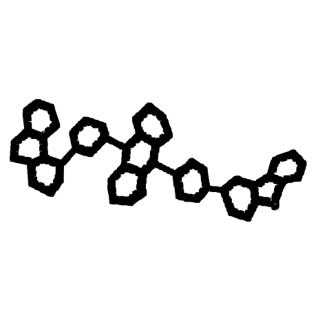 c1cc(-c2c3ccccc3c(-c3ccc(-c4ccc5oc6ccccc6c5c4)cc3)c3ccccc23)cc(-c2cccc3ccc4ccccc4c23)c1